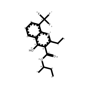 CCc1nc2c(C(F)(F)F)cccc2c(O)c1C(=O)OC(C)CC